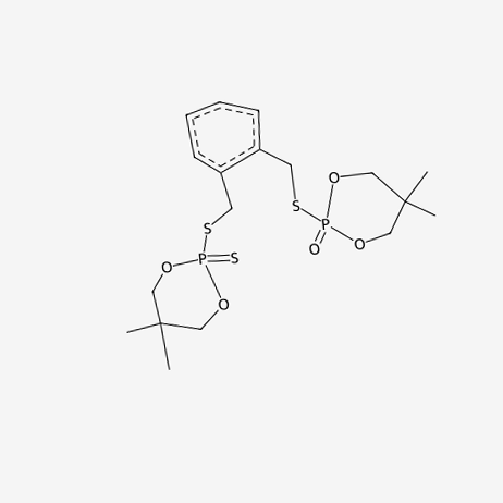 CC1(C)COP(=O)(SCc2ccccc2CSP2(=S)OCC(C)(C)CO2)OC1